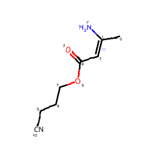 C/C(N)=C/C(=O)OCCCC#N